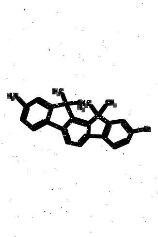 CCc1ccc2c(c1)C(C)(C)c1c-2ccc2c1C(C)(C)c1cc(N)ccc1-2